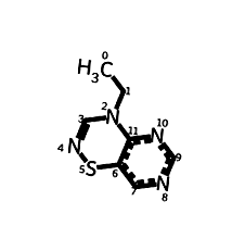 CCN1C=NSc2cncnc21